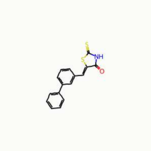 O=C1NC(=S)S/C1=C\c1cccc(-c2ccccc2)c1